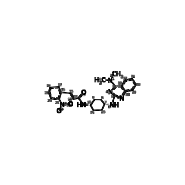 CN(C)c1nc(N[C@H]2CC[C@@H](NC(=O)/C=C/c3ccccc3[N+](=O)[O-])CC2)nc2ccccc12